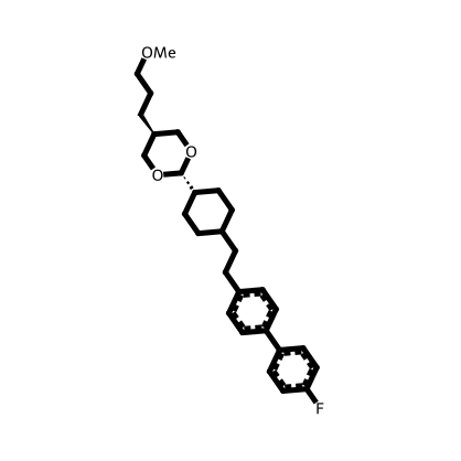 COCCC[C@H]1CO[C@H](C2CCC(CCc3ccc(-c4ccc(F)cc4)cc3)CC2)OC1